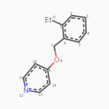 CCc1ccccc1COc1ccncc1